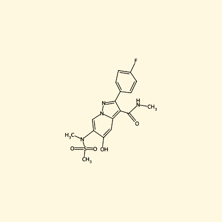 CNC(=O)c1c(-c2ccc(F)cc2)nn2cc(N(C)S(C)(=O)=O)c(O)cc12